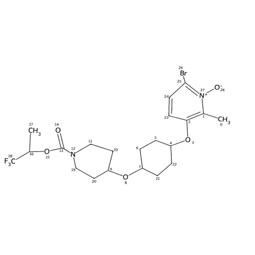 Cc1c(OC2CCC(OC3CCN(C(=O)OC(C)C(F)(F)F)CC3)CC2)ccc(Br)[n+]1[O-]